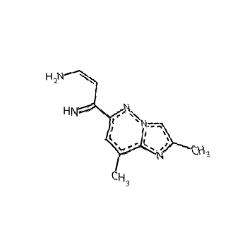 Cc1cn2nc(C(=N)/C=C\N)cc(C)c2n1